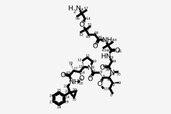 CC[C@H](C)[C@@H]([C@@H](CC(=O)N1CCC[C@H]1[C@H](OC)[C@@H](C)C(=O)NCC1(c2ccccc2)CC1)OC)N(C)C(=O)CNC(=O)C(C)(C)NC(=O)CCC(C)(C)OCC(C)(C)N